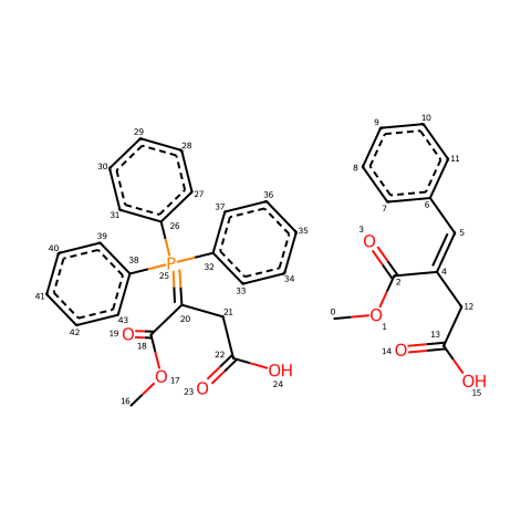 COC(=O)C(=Cc1ccccc1)CC(=O)O.COC(=O)C(CC(=O)O)=P(c1ccccc1)(c1ccccc1)c1ccccc1